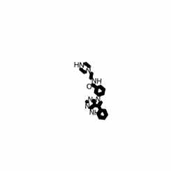 Nc1ncnc2c1c(-c1ccccc1)cn2-c1cccc(C(=O)NCCN2CCNCC2)c1